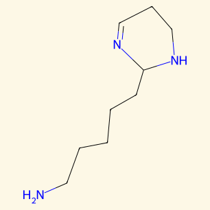 NCCCCCC1N=CCCN1